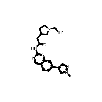 CC(C)CN1CCC(CC(=O)Nc2ncc3ccc(-c4cnn(C)c4)cc3n2)C1